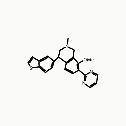 COc1c(-c2ncccn2)ccc2c1CN(C)CC2c1ccc2sccc2c1